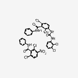 O=C(Nc1ccc(Cl)c(C(=O)Nc2ccccc2)c1O)Nc1cccc(Cl)c1Cl.O=C(Nc1ccccc1)c1c(Cl)ccc([N+](=O)[O-])c1Cl